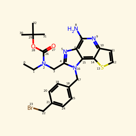 CCN(Cc1nc2c(N)nc3ccsc3c2n1Cc1ccc(CBr)cc1)C(=O)OC(C)(C)C